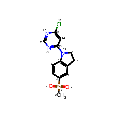 CS(=O)(=O)c1ccc2c(c1)CCN2c1cc(Cl)ncn1